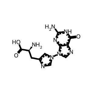 Nc1nc2c(ncn2-n2cnc(C[C@H](N)C(=O)O)c2)c(=O)[nH]1